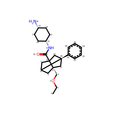 CCOC[C@]12CC3CC1(C(=O)N[C@H]1CC[C@@H](N)CC1)C[C@]3(c1ccccc1)C2